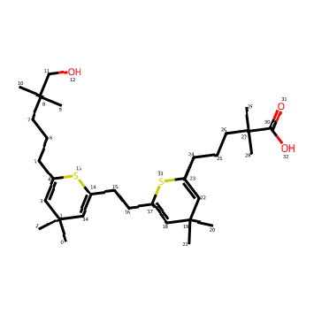 CC1(C)C=C(CCCC(C)(C)CO)SC(CCC2=CC(C)(C)C=C(CCCC(C)(C)C(=O)O)S2)=C1